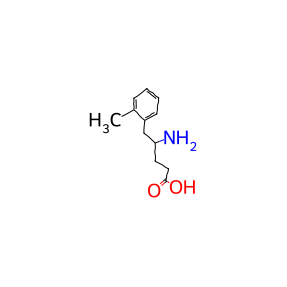 Cc1ccccc1CC(N)CCC(=O)O